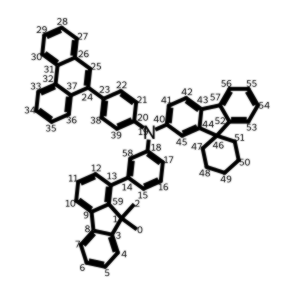 CC1(C)c2ccccc2-c2cccc(-c3cccc(N(c4ccc(-c5cc6ccccc6c6ccccc56)cc4)c4ccc5c(c4)C4(CCCCC4)c4ccccc4-5)c3)c21